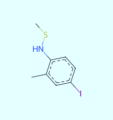 CSNc1ccc(I)cc1C